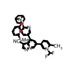 CSc1cccc(CN2C3CC2CN(c2ccc(-c4cc(C5=CN(C(F)F)C(C)=C=C5)cn5ncc(C#N)c45)cn2)C3)n1